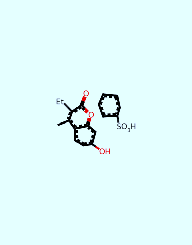 CCc1c(C)c2ccc(O)cc2oc1=O.O=S(=O)(O)c1ccccc1